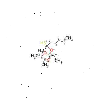 CCCCCC(C)(S)O[Si](CC)(OCC)OCC